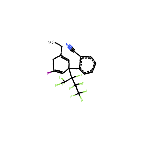 CCC1=CC(c2ccccc2C#N)(C(F)(C(F)(F)F)C(F)(F)C(F)(F)F)C=C(I)[CH]1